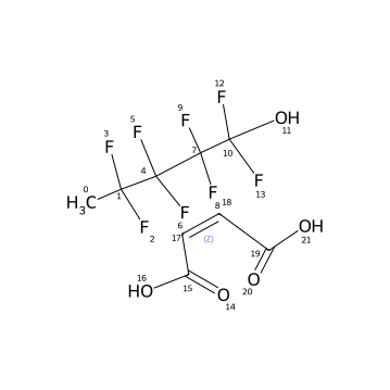 CC(F)(F)C(F)(F)C(F)(F)C(O)(F)F.O=C(O)/C=C\C(=O)O